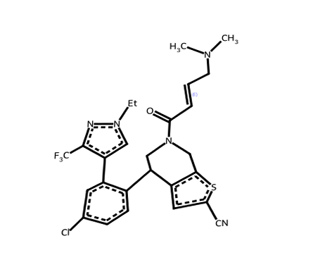 CCn1cc(-c2cc(Cl)ccc2C2CN(C(=O)/C=C/CN(C)C)Cc3sc(C#N)cc32)c(C(F)(F)F)n1